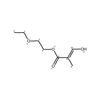 CCOCCOC(=O)C(C)=CO